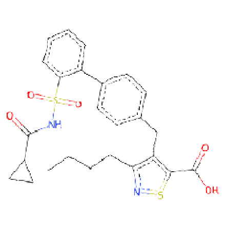 CCCCc1nsc(C(=O)O)c1Cc1ccc(-c2ccccc2S(=O)(=O)NC(=O)C2CC2)cc1